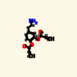 C#CC(=O)Oc1ccc(CCN)cc1OC(=O)C#C